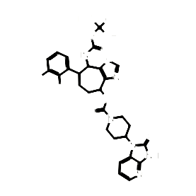 CC(C)(C)OC(=O)NC1c2scnc2C(OC(=O)N2CCC(n3c(=O)[nH]c4ncccc43)CC2)CCC1c1cccc(F)c1F